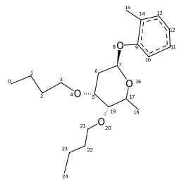 CCCCO[C@@H]1C[C@@H](Oc2ccccc2C)OC(C)[C@@H]1OCCCC